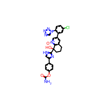 NC(=O)Oc1ccc(-c2c[nH]c(C3(O)CCCc4cc(-c5cc(Cl)ccc5-n5cnnn5)c[n+]([O-])c43)n2)cc1